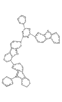 c1ccc(-c2nc(-c3ccc4c(c3)oc3c(-c5ccc6c7ccccc7n(-c7ccccc7)c6c5)cccc34)nc(-c3ccc4c(c3)sc3ccccc34)n2)cc1